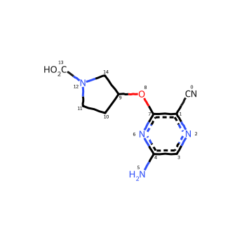 N#Cc1ncc(N)nc1OC1CCN(C(=O)O)C1